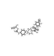 CC(O)CN(C)Cc1ccc([C@H]2CC[C@H](N(C)S(=O)(=O)c3ccc(Cl)cc3)CC2)cc1